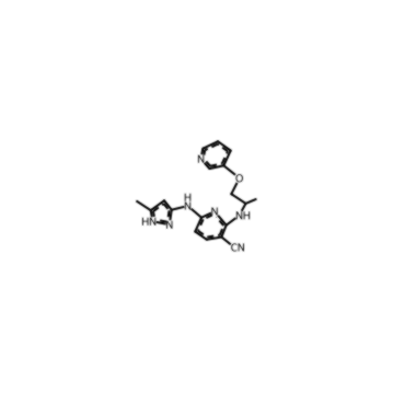 Cc1cc(Nc2ccc(C#N)c(NC(C)COc3cccnc3)n2)n[nH]1